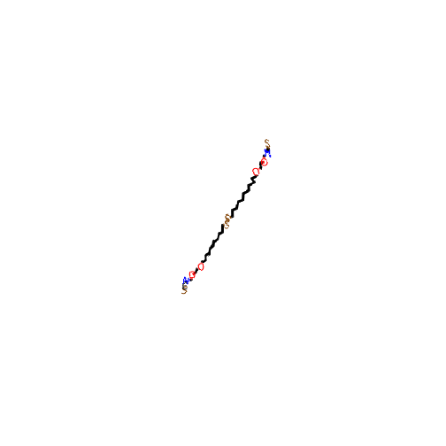 S=C=NCOCCOCCCCCCCCCCCSSCCCCCCCCCCCOCCOCN=C=S